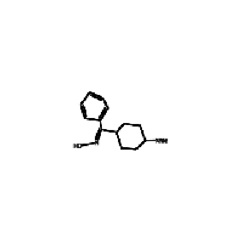 CNC1CCC(C(=NO)c2ccccc2)CC1